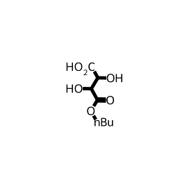 CCCCOC(=O)C(O)C(O)C(=O)O